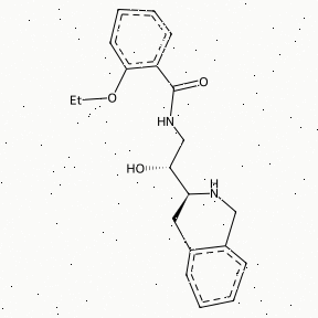 CCOc1ccccc1C(=O)NC[C@@H](O)[C@@H]1Cc2ccccc2CN1